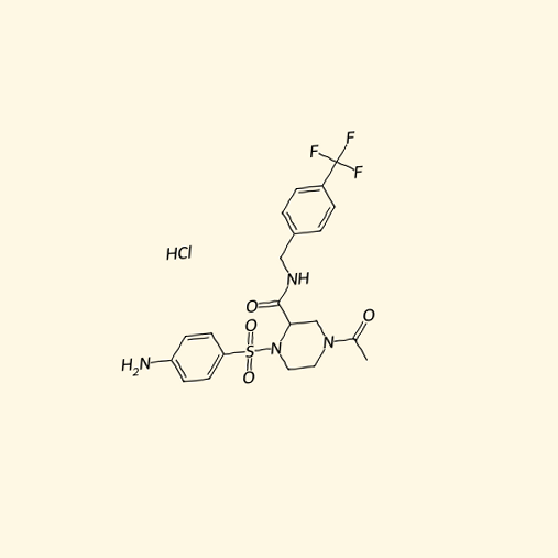 CC(=O)N1CCN(S(=O)(=O)c2ccc(N)cc2)C(C(=O)NCc2ccc(C(F)(F)F)cc2)C1.Cl